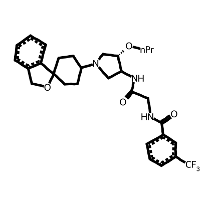 CCCO[C@H]1CN(C2CCC3(CC2)OCc2ccccc23)CC1NC(=O)CNC(=O)c1cccc(C(F)(F)F)c1